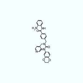 Nc1ccccc1NC(=O)c1ccc(CN(Cc2ccncc2)C(=O)Nc2ccc3c(c2)OCCO3)cc1